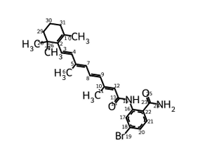 CC1=C(/C=C/C(C)=C/C=C/C(C)=C/C(=O)Nc2cc(Br)ccc2C(N)=O)C(C)(C)CCC1